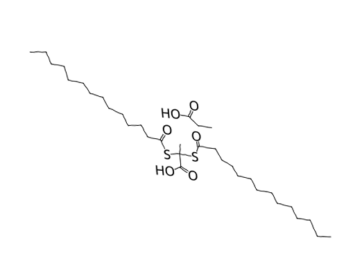 CCC(=O)O.CCCCCCCCCCCCCC(=O)SC(C)(SC(=O)CCCCCCCCCCCCC)C(=O)O